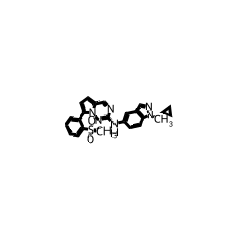 C1CC1.Cn1ncc2cc(Nc3ncc4ccc(-c5ccccc5S(C)(=O)=O)n4n3)ccc21